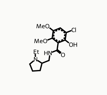 CCN1CCCC1CNC(=O)c1c(O)c(Cl)cc(OC)c1OC